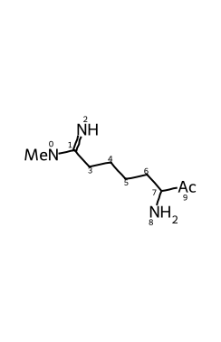 CNC(=N)CCCCC(N)C(C)=O